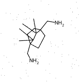 CC1(C)C2(CN)CCC(CN)(CC2)C1(C)C